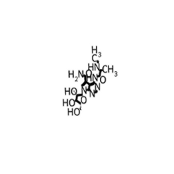 CCNC(C)C(=O)Nc1ncnc2c1c(C(N)=O)cn2[C@@H]1O[C@H](CO)C(O)[C@@H]1O